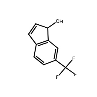 OC1C=Cc2ccc(C(F)(F)F)cc21